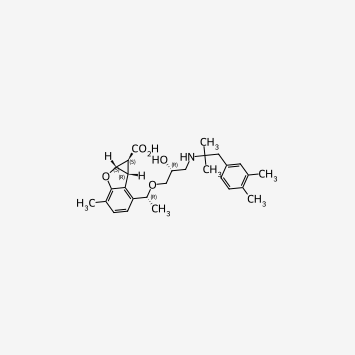 Cc1ccc(CC(C)(C)NC[C@@H](O)CO[C@H](C)c2ccc(C)c3c2[C@@H]2[C@H](O3)[C@H]2C(=O)O)cc1C